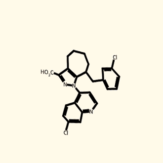 O=C(O)c1nn(-c2ccnc3cc(Cl)ccc23)c2c1CCCCC2Cc1cccc(Cl)c1